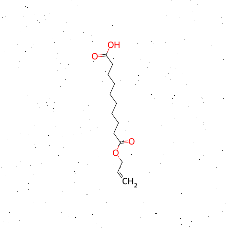 C=CCOC(=O)CCCCCCCCC(=O)O